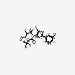 CSCC(C)C(=O)N(C(=O)OC(C)(C)C)c1sc(-c2cncc(C)c2)nc1C